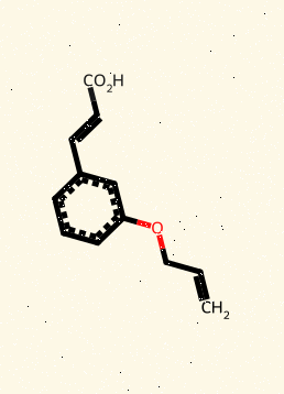 C=CCOc1cccc(/C=C/C(=O)O)c1